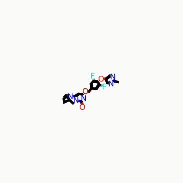 Cc1ncc(Oc2c(F)cc(COc3cc4n(c(=O)n3)CC35CC(CN43)C5)cc2F)cn1